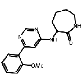 COc1ccccc1-c1cc(NC2CCCCNC2=O)ncn1